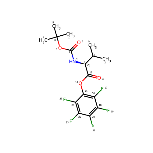 CC(C)[C@H](NC(=O)OC(C)(C)C)C(=O)Oc1c(F)c(F)c(F)c(F)c1F